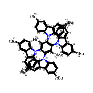 COc1c(-n2c3ccc(C(C)(C)C)cc3c3cc(C(C)(C)C)ccc32)c(-n2c3ccc(C(C)(C)C)cc3c3cc(C(C)(C)C)ccc32)c(C#N)c(-n2c3ccc(C(C)(C)C)cc3c3cc(C(C)(C)C)ccc32)c1-n1c2ccc(C(C)(C)C)cc2c2cc(C(C)(C)C)ccc21